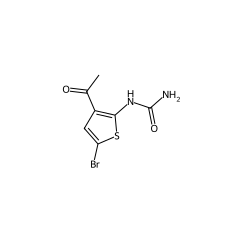 CC(=O)c1cc(Br)sc1NC(N)=O